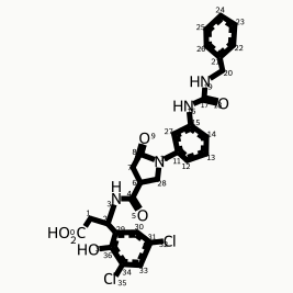 O=C(O)CC(NC(=O)C1CC(=O)N(c2cccc(NC(=O)NCc3ccccc3)c2)C1)c1cc(Cl)cc(Cl)c1O